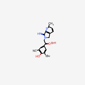 Br.Cc1ccc2c(n1)C(=N)N(CC(=O)c1cc(C#N)c(O)c(C(C)(C)C)c1)C2